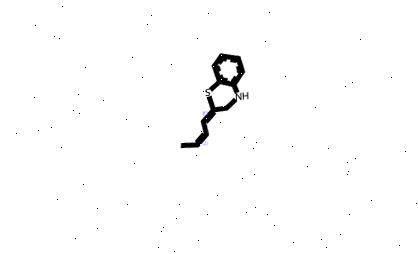 C/C=C\C=C1/CNc2ccccc2S1